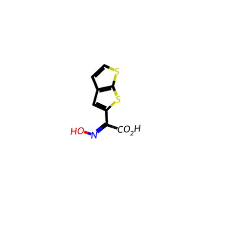 O=C(O)/C(=N/O)c1cc2ccsc2s1